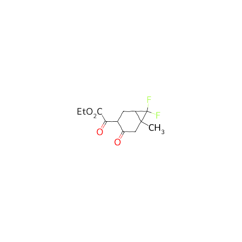 CCOC(=O)C(=O)C1CC2C(F)(F)C2(C)CC1=O